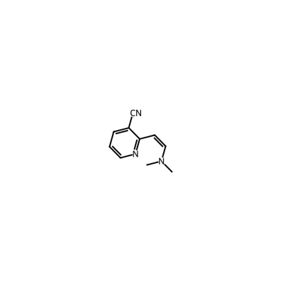 CN(C)/C=C\c1ncccc1C#N